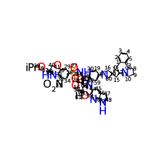 Cc1ccccc1[C@@H]1CCCN1C1CC2(C1)CN(c1ccc(C(=O)NS(=O)(=O)c3cc4c(c([N+](=O)[O-])c3)N[C@H](COC(C)C)CO4)c(N3c4cc5cc[nH]c5nc4O[C@H]4COC[C@@H]43)c1)C2